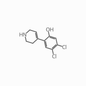 Oc1cc(Cl)c(Cl)cc1C1=CCNCC1